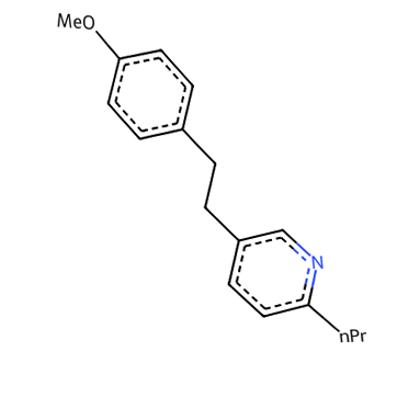 CCCc1ccc(CCc2ccc(OC)cc2)cn1